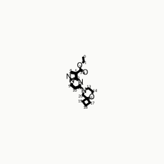 CCOC(=O)c1cnn2ccc(N3CCOC4(CCC4)C3)nc12